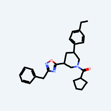 CCc1ccc(C2CC(c3nc(Cc4ccccc4)no3)CN(C(=O)C3CCCC3)C2)cc1